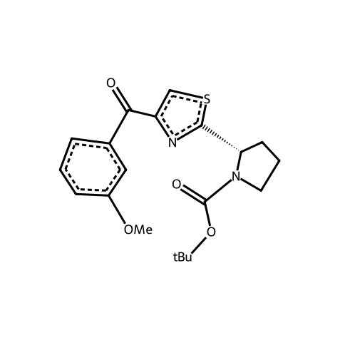 COc1cccc(C(=O)c2csc([C@@H]3CCCN3C(=O)OC(C)(C)C)n2)c1